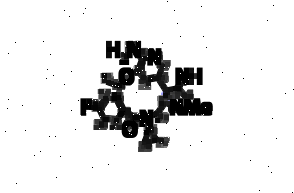 CN/C1=C(\C(C)=N)c2cnc(N)c(c2)OC(C)c2cc(F)ccc2C(=O)N(C2CC2)C1